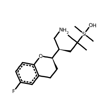 CC(C)(C[C@H](CN)[C@H]1CCc2cc(F)ccc2O1)[Si](C)(C)O